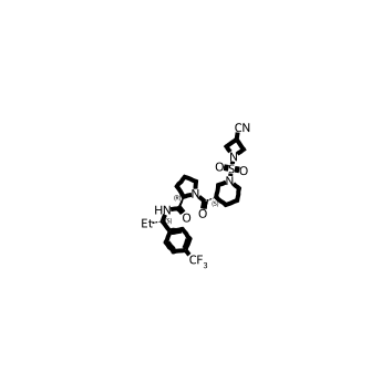 CC[C@H](NC(=O)[C@H]1CCCN1C(=O)[C@H]1CCCN(S(=O)(=O)N2CC(C#N)C2)C1)c1ccc(C(F)(F)F)cc1